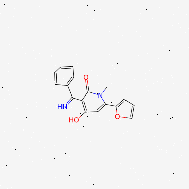 Cn1c(-c2ccco2)cc(O)c(C(=N)c2ccccc2)c1=O